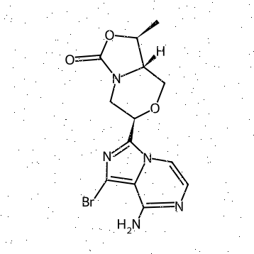 C[C@@H]1OC(=O)N2C[C@H](c3nc(Br)c4c(N)nccn34)OC[C@@H]12